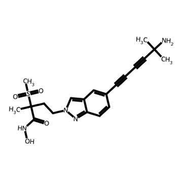 CC(C)(N)C#CC#Cc1ccc2nn(CCC(C)(C(=O)NO)S(C)(=O)=O)cc2c1